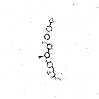 N#Cc1cc(-c2ncnc(Nc3ccc(N4CCN(C5COC5)CC4)cc3)n2)ccc1OC1CCN(C/C(N)=N/C(N)=O)CC1F